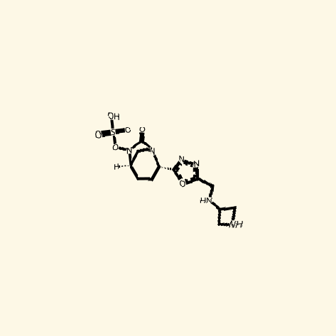 O=C1N2C[C@@H](CC[C@H]2c2nnc(CNC3CNC3)o2)N1OS(=O)(=O)O